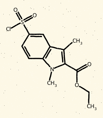 CCOC(=O)c1c(C)c2cc(S(=O)(=O)Cl)ccc2n1C